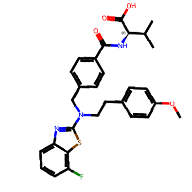 COc1ccc(CCN(Cc2ccc(C(=O)N[C@@H](C(=O)O)C(C)C)cc2)c2nc3cccc(F)c3s2)cc1